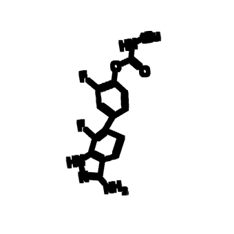 CC(C)(C)NC(=O)Oc1ccc(-c2ccc3c(N)n[nH]c3c2F)cc1F